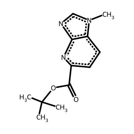 Cn1cnc2nc(C(=O)OC(C)(C)C)ccc21